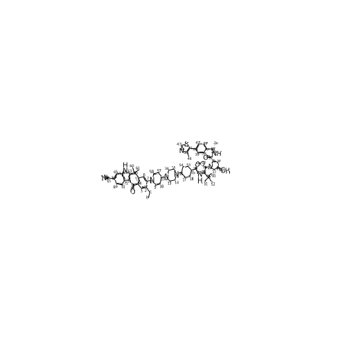 CCc1cc2c(cc1N1CCC(N3CCN(C4CCC(C(=O)N[C@H](C(=O)N5C[C@H](O)C[C@H]5C(=O)N[C@@H](C)c5ccc(-c6scnc6C)cc5)C(C)(C)C)CC4)CC3)CC1)C(C)(C)c1[nH]c3cc(C#N)ccc3c1C2=O